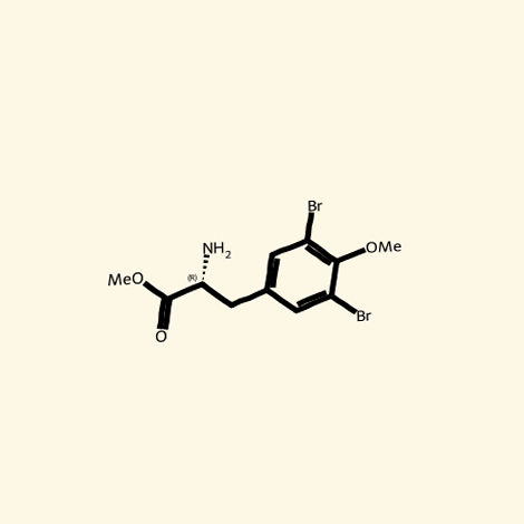 COC(=O)[C@H](N)Cc1cc(Br)c(OC)c(Br)c1